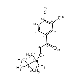 CC(C)(C)[Si](C)(C)OCC(=O)c1cnc(Cl)c(Cl)c1